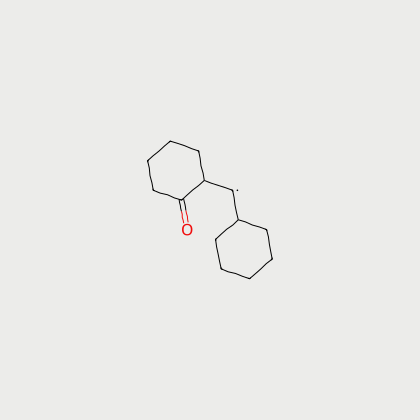 O=C1CCCCC1[CH]C1CCCCC1